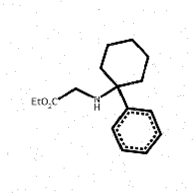 CCOC(=O)CNC1(c2ccccc2)CCCCC1